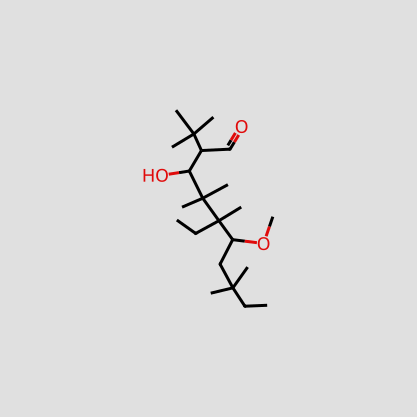 CCC(C)(C)CC(OC)C(C)(CC)C(C)(C)C(O)C(C=O)C(C)(C)C